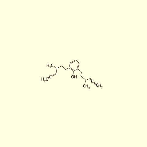 C=C=CC(C)CCc1cccc(CCC(C)C=C=C)c1O